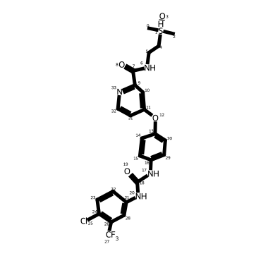 C[SH](C)(=O)CCNC(=O)c1cc(Oc2ccc(NC(=O)Nc3ccc(Cl)c(C(F)(F)F)c3)cc2)ccn1